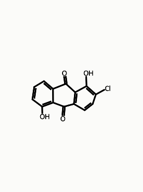 O=C1c2ccc(Cl)c(O)c2C(=O)c2cccc(O)c21